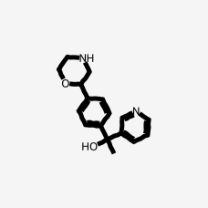 CC(O)(c1ccc(C2CNCCO2)cc1)c1cccnc1